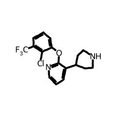 FC(F)(F)c1cccc(Oc2ncccc2C2CCNCC2)c1Cl